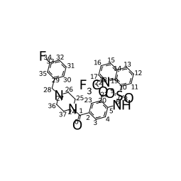 O=C(c1ccc(NS(=O)(=O)c2cccc3cccnc23)c(OC(F)(F)F)c1)N1CCN(Cc2cccc(F)c2)CC1